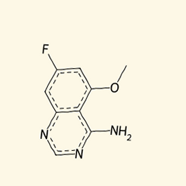 COc1cc(F)cc2ncnc(N)c12